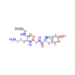 NCCC[C@H](NC(=O)CNC(=O)[C@@H](N)Cc1ccc(O)cc1)C(=O)NCC=O